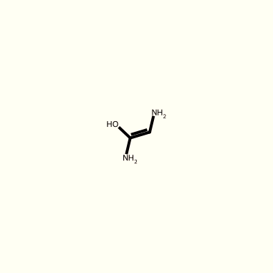 N/C=C(/N)O